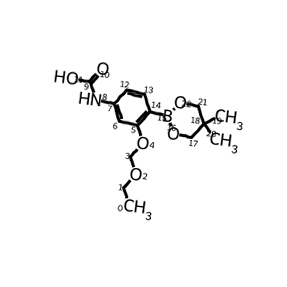 CCOCOc1cc(NC(=O)O)ccc1B1OCC(C)(C)CO1